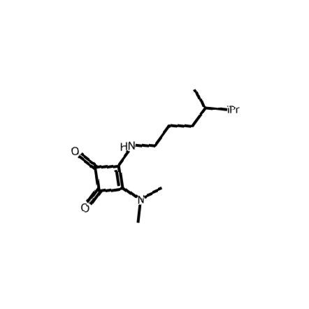 CC(C)C(C)CCCNc1c(N(C)C)c(=O)c1=O